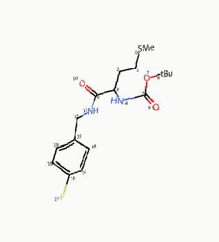 CSCCC(NC(=O)OC(C)(C)C)C(=O)NCc1ccc(F)cc1